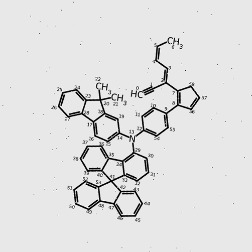 C#C/C(=C\C=C/C)C1=C(c2ccc(N(c3ccc4c(c3)C(C)(C)c3ccccc3-4)c3cccc4c3-c3ccccc3C43c4ccccc4-c4ccccc43)cc2)C=CC1